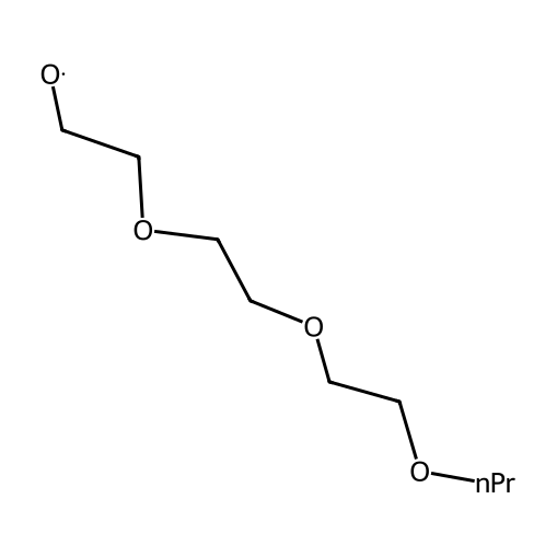 CCCOCCOCCOCC[O]